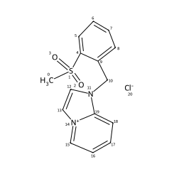 CS(=O)(=O)c1ccccc1Cn1cc[n+]2ccccc12.[Cl-]